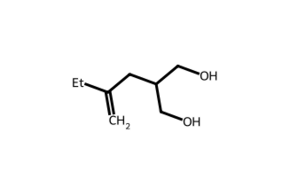 C=C(CC)CC(CO)CO